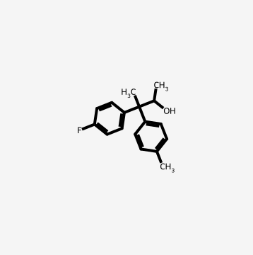 Cc1ccc(C(C)(c2ccc(F)cc2)C(C)O)cc1